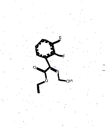 CCOC(=O)/C(=N\CO)c1cccc(F)c1F